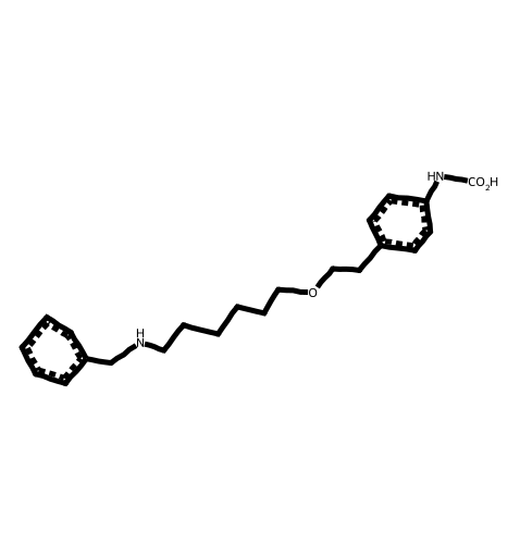 O=C(O)Nc1ccc(CCOCCCCCCNCc2ccccc2)cc1